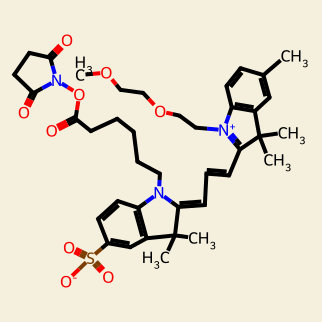 COCCOCC[N+]1=C(C=CC=C2N(CCCCCC(=O)ON3C(=O)CCC3=O)c3ccc(S(=O)(=O)[O-])cc3C2(C)C)C(C)(C)c2cc(C)ccc21